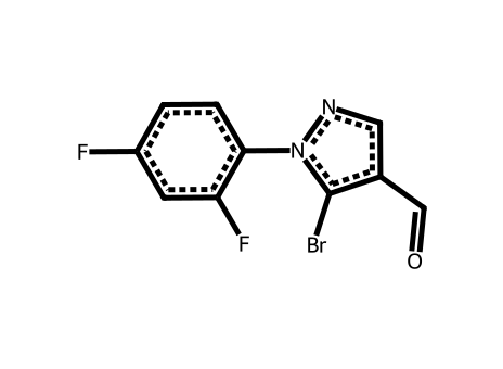 O=Cc1cnn(-c2ccc(F)cc2F)c1Br